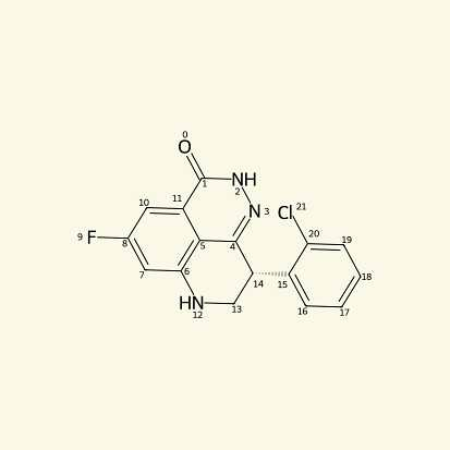 O=c1[nH]nc2c3c(cc(F)cc13)NC[C@H]2c1ccccc1Cl